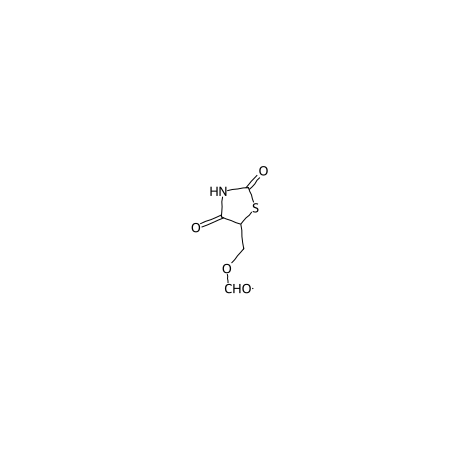 O=[C]OCC1SC(=O)NC1=O